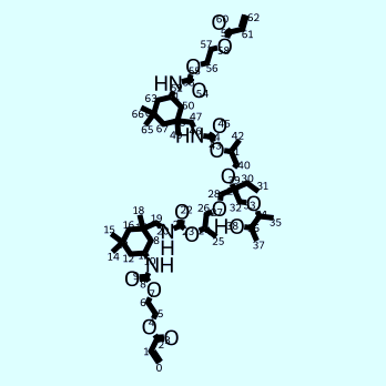 C=CC(=O)OCCOC(=O)NC1CC(C)(C)CC(C)(CNC(=O)OC(C)COCC(CC)(COC(C)C(C)O)OCC(C)OC(=O)NCC2(C)CC(NC(=O)OCCOC(=O)C=C)CC(C)(C)C2)C1